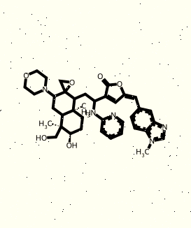 Cn1cnc2cc(/C=C3\C=C(C(CC4C5(CO5)C(N5CCOCC5)CC5[C@]4(C)CC[C@@H](O)[C@@]5(C)CO)Nc4ccccn4)C(=O)O3)ccc21